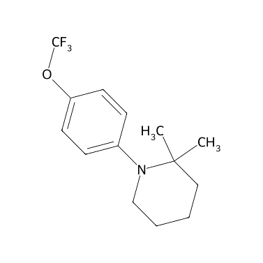 CC1(C)CCCCN1c1ccc(OC(F)(F)F)cc1